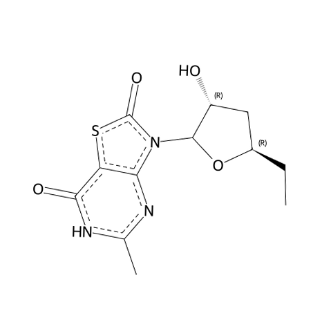 CC[C@@H]1C[C@@H](O)C(n2c(=O)sc3c(=O)[nH]c(C)nc32)O1